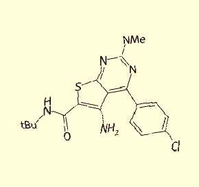 CNc1nc(-c2ccc(Cl)cc2)c2c(N)c(C(=O)NC(C)(C)C)sc2n1